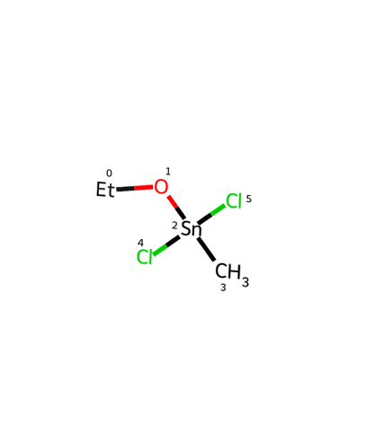 CC[O][Sn]([CH3])([Cl])[Cl]